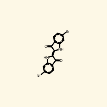 O=C1/C(=C2\Nc3cc(Br)ccc3C2=O)Nc2cc(Br)ccc21